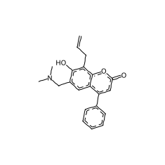 C=CCc1c(O)c(CN(C)C)cc2c(-c3ccccc3)cc(=O)oc12